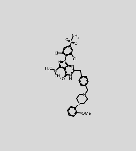 COc1ccccc1N1CCN(Cc2ccc(Cc3nc4c(c(N(C)C)nn4-c4c(Cl)cc(S(N)(=O)=O)cc4Cl)c(=O)[nH]3)cc2)CC1